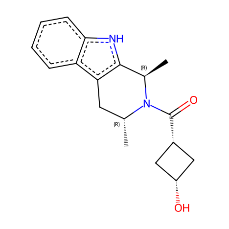 C[C@@H]1Cc2c([nH]c3ccccc23)[C@@H](C)N1C(=O)[C@H]1C[C@@H](O)C1